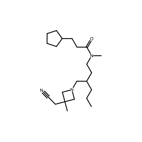 CCCC(CCN(C)C(=O)CCC1CCCC1)CN1CC(C)(CC#N)C1